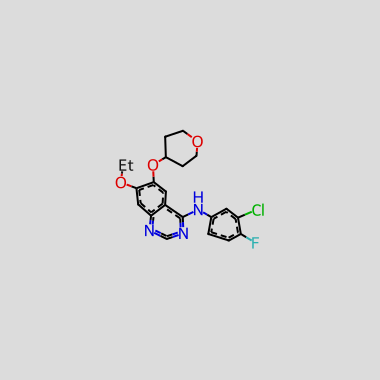 CCOc1cc2ncnc(Nc3ccc(F)c(Cl)c3)c2cc1OC1CCOCC1